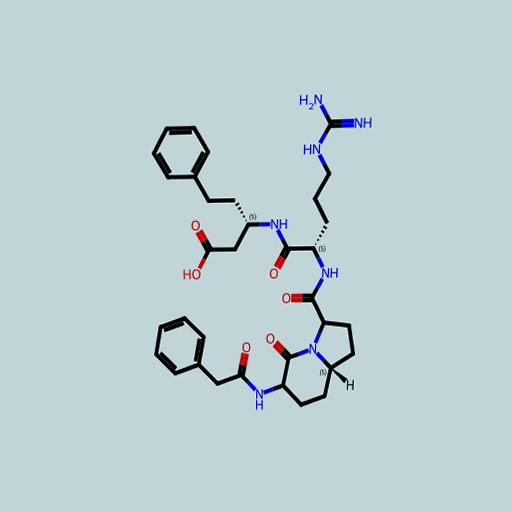 N=C(N)NCCC[C@H](NC(=O)C1CC[C@@H]2CCC(NC(=O)Cc3ccccc3)C(=O)N12)C(=O)N[C@@H](CCc1ccccc1)CC(=O)O